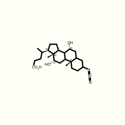 CC(CCC(=O)O)[C@H]1CCC2C3C(C[C@H](O)[C@@]21C)[C@@]1(C)CCC(N=[N+]=[N-])CC1C[C@H]3O